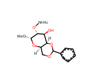 CO[C@H]1O[C@@H]2COC(c3ccccc3)O[C@@H]2[C@H](O)[C@H]1ONC(C)=O